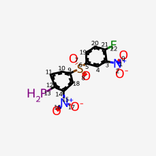 O=[N+]([O-])c1cc(S(=O)(=O)c2ccc(P)c([N+](=O)[O-])c2)ccc1F